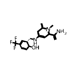 C=C(N)C1C=C(NC[C@H]2C=C(C(F)(F)F)C=CC2O)CC(C)N1C